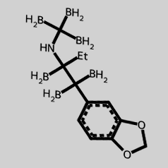 BC(B)(B)NC(B)(CC)C(B)(B)c1ccc2c(c1)OCO2